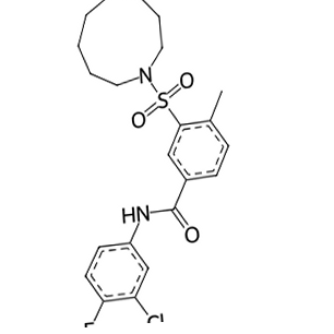 Cc1ccc(C(=O)Nc2ccc(F)c(Cl)c2)cc1S(=O)(=O)N1CCCCCCCC1